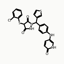 O=C1NN(C(c2ccc(Nc3ccc(=O)[nH]c3)cc2)c2ccsc2)C(=O)C1Sc1ccccc1Cl